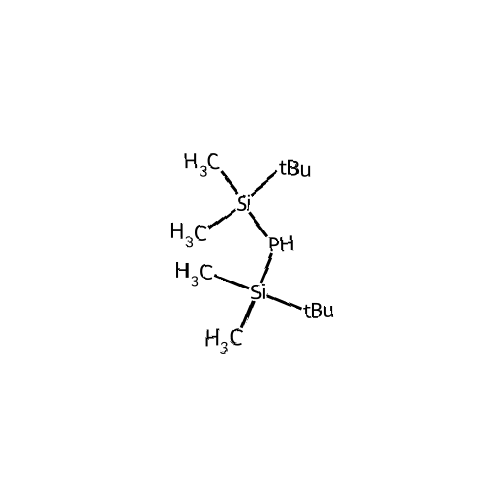 CC(C)(C)[Si](C)(C)P[Si](C)(C)C(C)(C)C